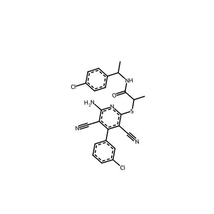 CC(Sc1nc(N)c(C#N)c(-c2cccc(Cl)c2)c1C#N)C(=O)NC(C)c1ccc(Cl)cc1